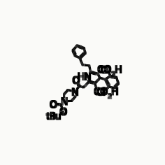 CC(C)(C)OC(=O)N1CCN(C(=O)CC2=C(C(=O)O)C(c3c(Cl)cccc3Cl)C(C(=O)O)=C(CCc3ccccc3)N2)CC1